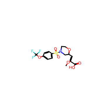 COC(=CC1CN(S(=O)(=O)c2ccc(OC(F)(F)F)cc2)CCO1)C(=O)O